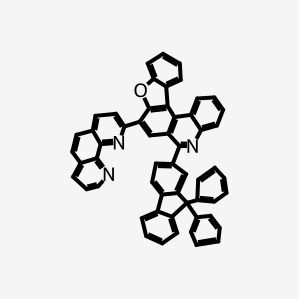 c1ccc(C2(c3ccccc3)c3ccccc3-c3ccc(-c4nc5ccccc5c5c4cc(-c4ccc6ccc7cccnc7c6n4)c4oc6ccccc6c45)cc32)cc1